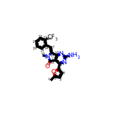 Cc1ccc(-c2nc(N)nc3c2C(=O)N(C)C3=Cc2ccccc2C(F)(F)F)o1